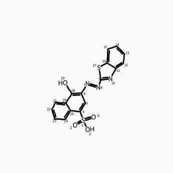 O=S(=O)(O)c1cc(N=Nc2nc3ccccc3s2)c(O)c2ccccc12